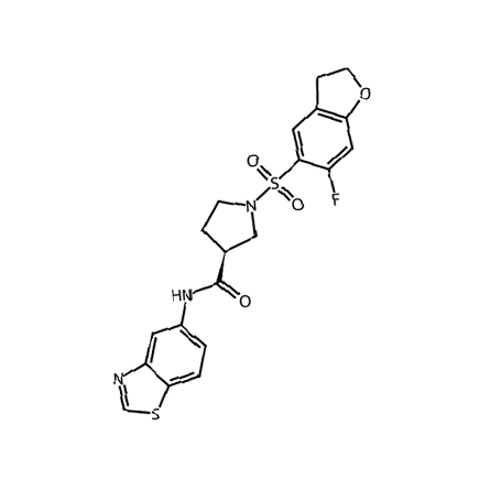 O=C(Nc1ccc2scnc2c1)[C@H]1CCN(S(=O)(=O)c2cc3c(cc2F)OCC3)C1